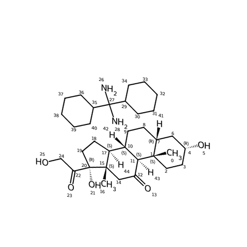 C[C@]12CC[C@@H](O)C[C@H]1CC[C@@H]1[C@@H]2C(=O)C[C@@]2(C)[C@H]1CC[C@]2(O)C(=O)CO.NC(N)(C1CCCCC1)C1CCCCC1